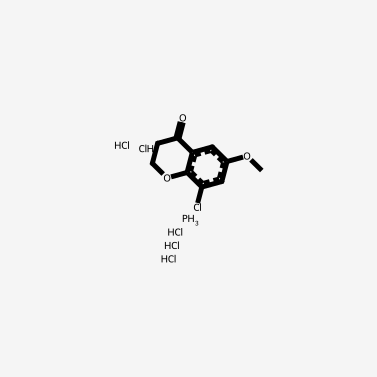 COc1cc(Cl)c2c(c1)C(=O)CCO2.Cl.Cl.Cl.Cl.Cl.P